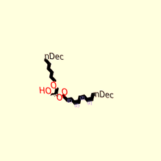 CCCCCCCCCCC\C=C/C=C\C=C/C=C/C(=O)O[C@@H](CO)COCCCCCCCCCCCCCCCC